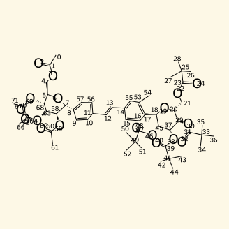 CC(=O)OC[C@H]1O[C@H](c2ccc(/C=C/c3ccc([C@H]4O[C@H](COC(=O)C(C)(C)C)[C@@H](OC(=O)C(C)(C)C)[C@H](OC(=O)C(C)(C)C)[C@@H]4OC(=O)C(C)(C)C)c(C)c3)cc2)[C@@H](OC(C)=O)[C@@H](OC(C)=O)[C@@H]1OC(C)=O